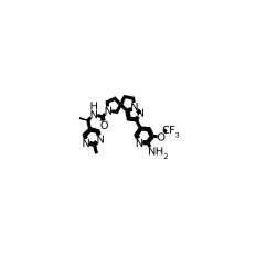 Cc1ncc([C@@H](C)NC(=O)N2CCC3(CCn4nc(-c5cnc(N)c(OC(F)(F)F)c5)cc43)C2)cn1